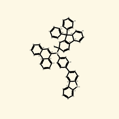 CC1(N(c2ccc(-c3ccc4sc5ccccc5c4c3)cc2)c2cc3ccccc3c3ccccc23)C=CC2=C(C1)C(c1ccccc1)(c1ccccc1)C1C=CC=CC21